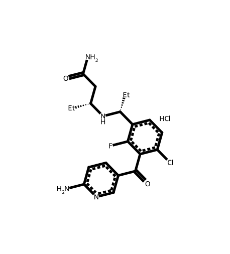 CC[C@H](CC(N)=O)N[C@H](CC)c1ccc(Cl)c(C(=O)c2ccc(N)nc2)c1F.Cl